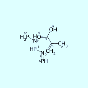 C=C(C)C(=O)O.P=NPNP